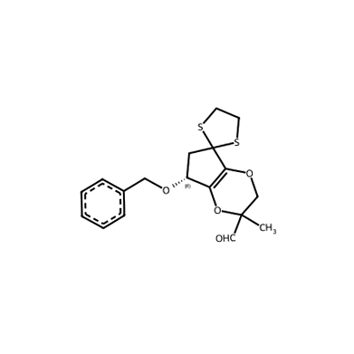 CC1(C=O)COC2=C(O1)[C@H](OCc1ccccc1)CC21SCCS1